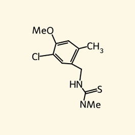 CNC(=S)NCc1cc(Cl)c(OC)cc1C